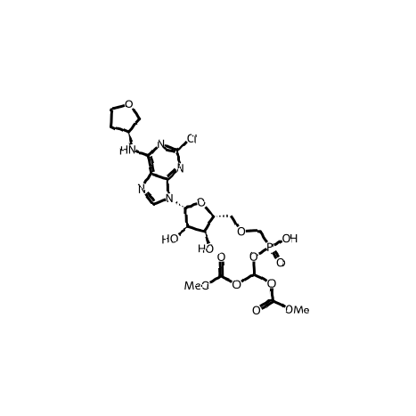 COC(=O)OC(OC(=O)OC)OP(=O)(O)COC[C@H]1O[C@@H](n2cnc3c(N[C@H]4CCOC4)nc(Cl)nc32)[C@H](O)[C@@H]1O